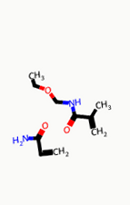 C=C(C)C(=O)NCOCC.C=CC(N)=O